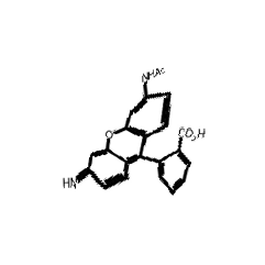 CC(=O)Nc1ccc2c(-c3ccccc3C(=O)O)c3ccc(=N)cc-3oc2c1